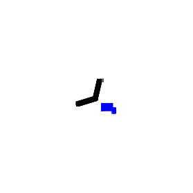 N.[CH2]CC